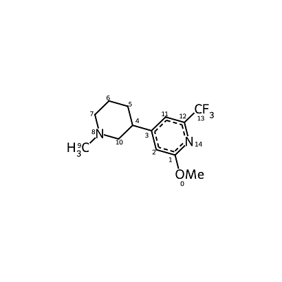 COc1cc(C2CCCN(C)C2)cc(C(F)(F)F)n1